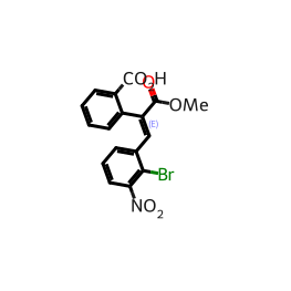 COC(=O)/C(=C/c1cccc([N+](=O)[O-])c1Br)c1ccccc1C(=O)O